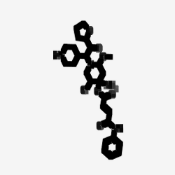 COC1CC(N)(OC(=O)/C=C/C(=O)Nc2ccccc2)C(Cl)CN1C(C(=O)C1CCCO1)C1CCNCC1